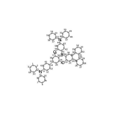 c1ccc(N(c2ccccc2)c2ccc(-c3cc4c5c(c3)Oc3cc6c7ccccc7c7ccccc7c6cc3B5c3ccc(N(c5ccccc5)c5ccccc5)cc3O4)cc2)cc1